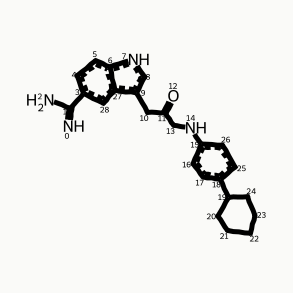 N=C(N)c1ccc2[nH]cc(CC(=O)CNc3ccc(C4CCCCC4)cc3)c2c1